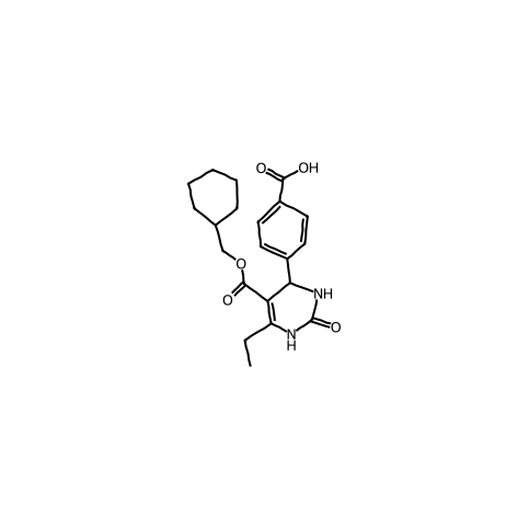 CCC1=C(C(=O)OCC2CCCCC2)C(c2ccc(C(=O)O)cc2)NC(=O)N1